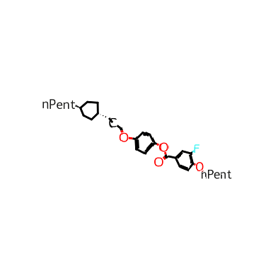 CCCCCOc1ccc(C(=O)Oc2ccc(OCCC[C@H]3CC[C@H](CCCCC)CC3)cc2)cc1F